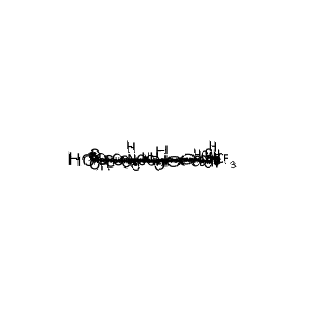 NC(COCCC(=O)NCCOCCOCCOCCOC[C@H]1OCC[C@@H](O)[C@H]1O)COCCC(=O)NCCOCCOCCOCCOC[C@H]1OCC(Nc2nccc(C(F)(F)F)n2)[C@@H](O)[C@H]1O